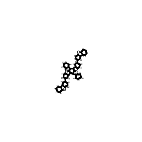 c1ccc2c(c1)oc1ccc(-c3ccc4c(c3)c3c5c6ccccc6n6c7ccc(-c8ccc9oc%10ccccc%10c9c8)cc7c(c7c8ccccc8n4c73)c56)cc12